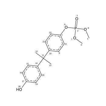 COP(=O)(OC)Oc1ccc(C(C)(C)c2ccc(O)cc2)cc1